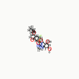 COc1ccc(CN(c2ncccn2)S(=O)(=O)c2cc3c(cc2F)[C@H](O[Si](C)(C)C(C)(C)C)CCO3)c(OC)c1